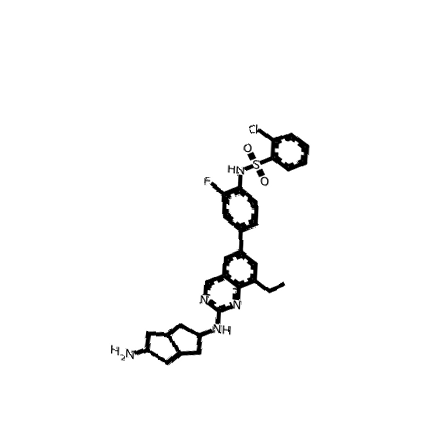 CCc1cc(-c2ccc(NS(=O)(=O)c3ccccc3Cl)c(F)c2)cc2cnc(NC3CC4CC(N)CC4C3)nc12